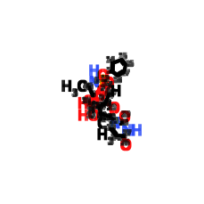 [2H][C@H](OP(=O)(N[C@@H](C)C(=O)OC(C)C)Oc1ccccc1)[C@H]1O[C@@H](n2ccc(=O)[nH]c2=O)[C@](C)(O)[C@@H]1O